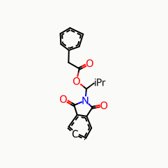 CC(C)C(OC(=O)Cc1ccccc1)N1C(=O)c2ccccc2C1=O